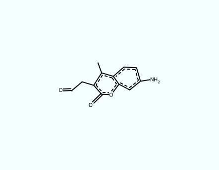 Cc1c(C[C]=O)c(=O)oc2cc(N)ccc12